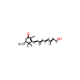 CC(=O)OC1CC(=O)C(C)=C(/C=C/C(C)=C/C=C/C(C)=C/CO)C1(C)C